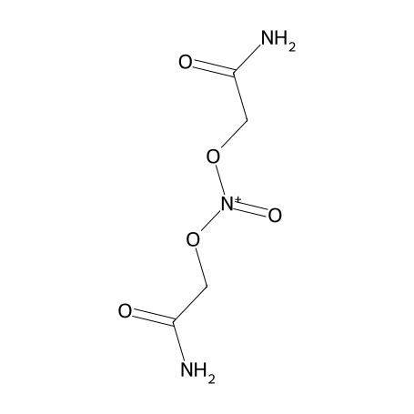 NC(=O)CO[N+](=O)OCC(N)=O